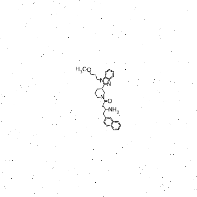 COCCCn1c(C2CCCN(C(=O)CC(N)Cc3ccc4ccccc4c3)C2)nc2ccccc21